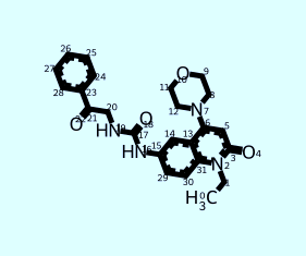 CCn1c(=O)cc(N2CCOCC2)c2cc(NC(=O)NCC(=O)c3ccccc3)ccc21